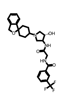 O=C(CNC(=O)c1cccc(C(F)(F)F)c1)NC1CN(C2CCC3(CC2)OCc2ccccc23)C[C@@H]1O